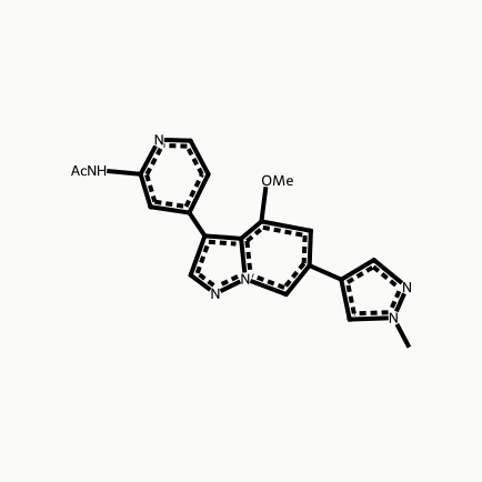 COc1cc(-c2cnn(C)c2)cn2ncc(-c3ccnc(NC(C)=O)c3)c12